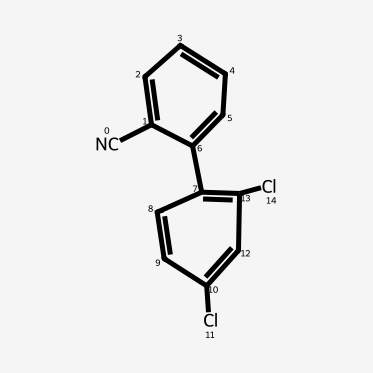 N#Cc1ccccc1-c1[c]cc(Cl)cc1Cl